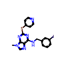 Cn1cnc2c(NCc3cccc(I)c3)nc(Sc3ccncc3)nc21